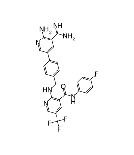 N=C(N)c1cc(-c2ccc(CNc3ncc(C(F)(F)F)cc3C(=O)Nc3ccc(F)cc3)cc2)cnc1N